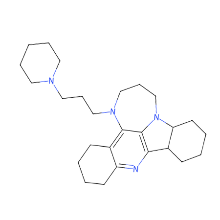 C1CCN(CCCN2CCCN3c4c(nc5c(c42)CCCC5)C2CCCCC23)CC1